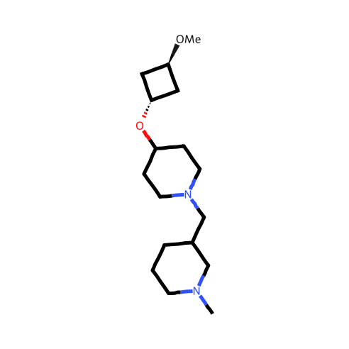 CO[C@H]1C[C@H](OC2CCN(CC3CCCN(C)C3)CC2)C1